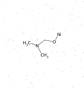 CN(C)C[O][Ni]